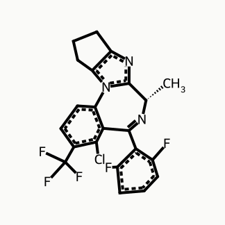 C[C@@H]1N=C(c2c(F)cccc2F)c2c(ccc(C(F)(F)F)c2Cl)-n2c1nc1c2CCC1